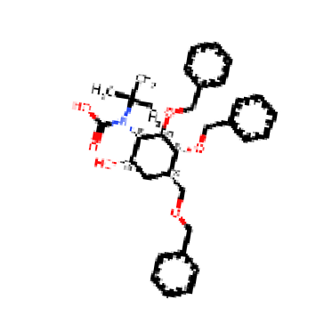 CC(C)(C)N(C(=O)O)[C@@H]1[C@@H](OCc2ccccc2)[C@H](OCc2ccccc2)[C@@H](COCc2ccccc2)C[C@@H]1O